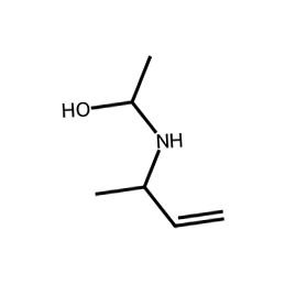 C=CC(C)NC(C)O